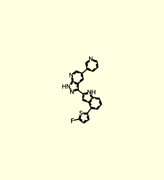 Fc1ccc(-c2cccc3[nH]c(-c4n[nH]c5ncc(-c6cccnc6)cc45)cc23)s1